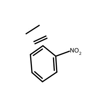 C=C.CC.O=[N+]([O-])c1ccccc1